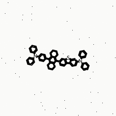 c1ccc(N(c2ccccc2)c2ccc(-c3c4c(c(-c5ccc6c(c5)sc5cc(N(c7ccccc7)c7ccccc7)ccc56)c5c3CCCC5)CCCC4)cc2)cc1